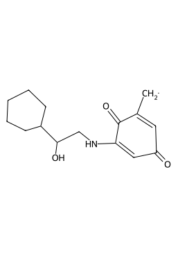 [CH2]C1=CC(=O)C=C(NCC(O)C2CCCCC2)C1=O